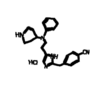 Cl.N#Cc1ccc(Cc2ncc(CCN(c3ccccc3)C3CCNCC3)[nH]2)cc1